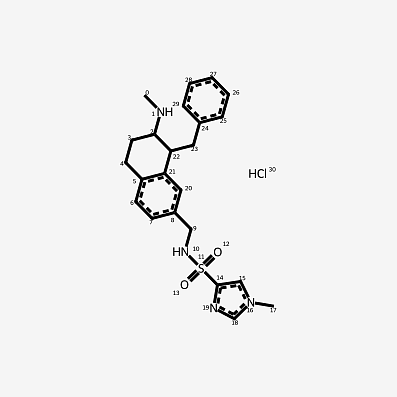 CNC1CCc2ccc(CNS(=O)(=O)c3cn(C)cn3)cc2C1Cc1ccccc1.Cl